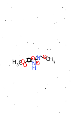 COCCN1CC2(C1)Oc1ccc(C(=O)OC)cc1NC2=O